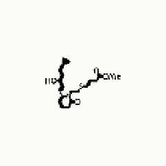 COC(=O)CCCSCCN1C(=O)CCC[C@@H]1/C=C/C(O)CCC1CC1